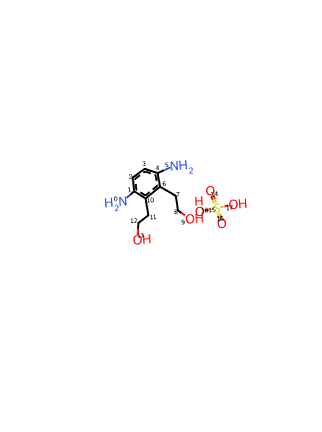 Nc1ccc(N)c(CCO)c1CCO.O=S(=O)(O)O